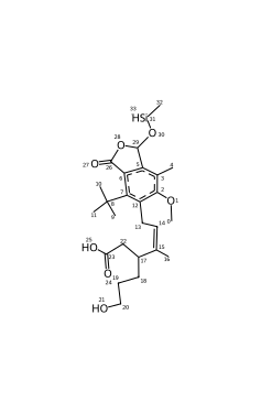 COc1c(C)c2c(c(C(C)(C)C)c1CC=C(C)C(CCCO)CC(=O)O)C(=O)OC2O[SiH](C)C